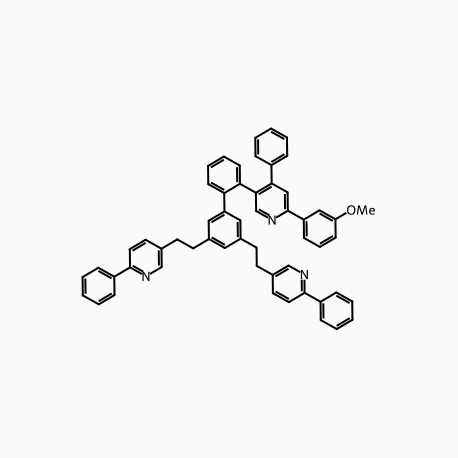 COc1cccc(-c2cc(-c3ccccc3)c(-c3ccccc3-c3cc(CCc4ccc(-c5ccccc5)nc4)cc(CCc4ccc(-c5ccccc5)nc4)c3)cn2)c1